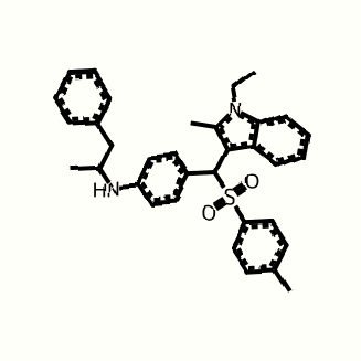 CCn1c(C)c(C(c2ccc(NC(C)Cc3ccccc3)cc2)S(=O)(=O)c2ccc(C)cc2)c2ccccc21